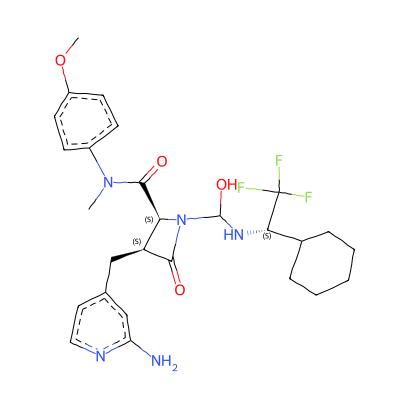 COc1ccc(N(C)C(=O)[C@@H]2[C@H](Cc3ccnc(N)c3)C(=O)N2C(O)N[C@@H](C2CCCCC2)C(F)(F)F)cc1